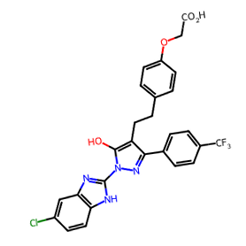 O=C(O)COc1ccc(CCc2c(-c3ccc(C(F)(F)F)cc3)nn(-c3nc4cc(Cl)ccc4[nH]3)c2O)cc1